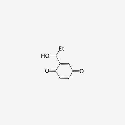 CCC(O)C1=CC(=O)C=CC1=O